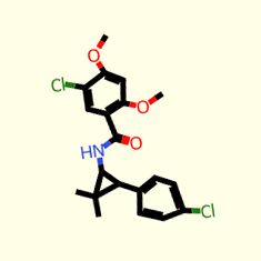 COc1cc(OC)c(C(=O)NC2C(c3ccc(Cl)cc3)C2(C)C)cc1Cl